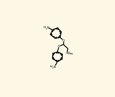 CCCCCCCCCCCC(Oc1ccc(N)cc1)Oc1ccc(N)cc1